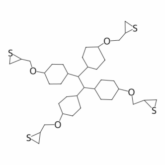 C1CC(C(C2CCC(OCC3CS3)CC2)C(C2CCC(OCC3CS3)CC2)C2CCC(OCC3CS3)CC2)CCC1OCC1CS1